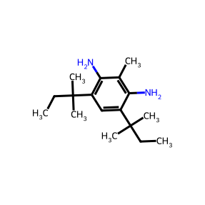 CCC(C)(C)c1cc(C(C)(C)CC)c(N)c(C)c1N